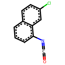 O=C=Nc1[c]ccc2ccc(Cl)cc12